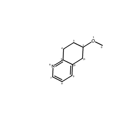 COC1CCc2ncccc2C1